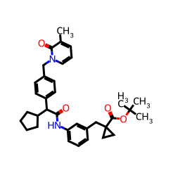 Cc1cccn(Cc2ccc(C(C(=O)Nc3cccc(CC4(C(=O)OC(C)(C)C)CC4)c3)C3CCCC3)cc2)c1=O